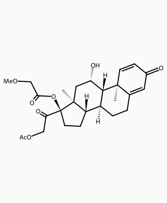 COCC(=O)O[C@]1(C(=O)COC(C)=O)CC[C@H]2[C@@H]3CCC4=CC(=O)C=C[C@]4(C)[C@H]3[C@@H](O)C[C@@]21C